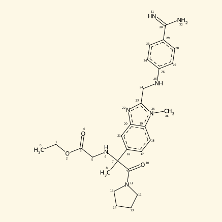 CCOC(=O)CNC(C)(C(=O)N1CCCC1)c1ccc2c(c1)nc(CNc1ccc(C(=N)N)cc1)n2C